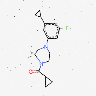 C[C@@H]1CN(c2cc(F)[c]c(C3CC3)c2)CCN1C(=O)C1CC1